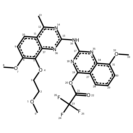 COCCOc1c(OC)ccc2c(C)nc(Nc3nc(OC(=O)C(F)(F)F)c4cccc(OC)c4n3)nc12